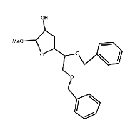 COC1OC(C(COCc2ccccc2)OCc2ccccc2)CC1O